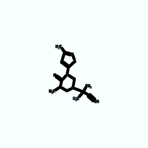 C#CC(C)(C)N1CN(C)C(=O)N(c2cc(C)ns2)C1